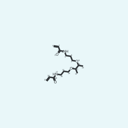 C=CC(=O)NCCCOC(C)C(C)OCCCNC(=O)C=C